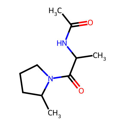 CC(=O)NC(C)C(=O)N1CCCC1C